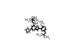 Cc1ncc(CC(C)C)nc1-c1cc2nc(N3CCCC3)cc(NCC(C)(C)O)n2n1